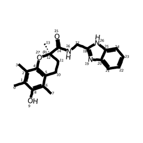 Cc1c(C)c2c(c(C)c1O)CC[C@](C)(C(=O)NCc1nc3ccccc3[nH]1)O2